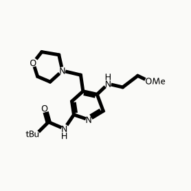 COCCNc1cnc(NC(=O)C(C)(C)C)cc1CN1CCOCC1